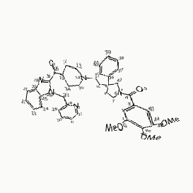 COc1cc(C(=O)N2CCC(CCN3CCC(C(=O)c4nc5ccccc5n4Cc4ccccn4)CC3)(c3ccccc3)C2)cc(OC)c1OC